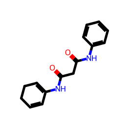 O=C(CC(=O)Nc1ccccc1)NC1=CCCC=C1